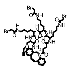 C#CCOCC(NC(=O)C(CCCCNC(=O)CBr)NC(=O)C(CCCCNC(=O)CBr)NC(=O)C(CCCCNC(=O)CBr)NC(=O)CCC(=O)N1Cc2ccccc2/C=C\c2ccccc21)C(N)=O